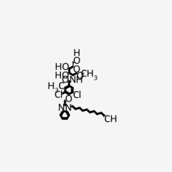 C#CCCCCCCCCCn1c(COc2c(Cl)cc(C(=O)N[C@H]3[C@@H](OC)O[C@H](CO)[C@@H](O)[C@@H]3O)c(C)c2Cl)nc2ccccc21